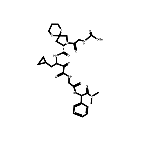 CC(C)COC(=O)NCC(=O)N1CC2(C[C@H]1C(=O)NC(CC1CC1)C(=O)C(=O)NCC(=O)NC(C(=O)N(C)C)c1ccccc1)SCCCS2